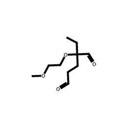 CCC(C=O)(CCC=O)OCCOC